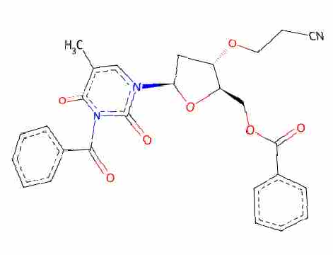 Cc1cn([C@H]2C[C@H](OCCC#N)[C@@H](COC(=O)c3ccccc3)O2)c(=O)n(C(=O)c2ccccc2)c1=O